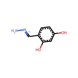 N/N=C/c1ccc(O)cc1O